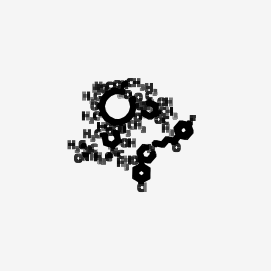 CC[C@H]1OC(=O)[C@H](C)[C@@H](O[C@H]2C[C@@](C)(OC)[C@@H](O)[C@H](C)O2)[C@H](C)[C@@H](O[C@@H]2O[C@H](C)C[C@H](N(C)C)[C@H]2O)[C@](C)(O)C[C@@H](C)C(=O)[C@H](C)[C@@H](O)[C@]1(C)O.CN(C)N=O.O=C(CCCN1CCC(O)(c2ccc(Cl)cc2)CC1)c1ccc(F)cc1